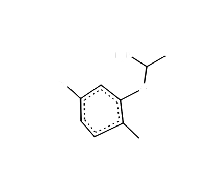 Cc1ccc(C(C)C)cc1OC(C)P